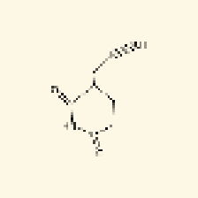 C#CCC1CCC(=O)NC1=O